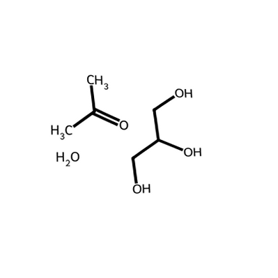 CC(C)=O.O.OCC(O)CO